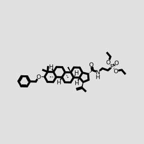 C=C(C)[C@@H]1C[C@@H](C(=O)NCCP(=O)(OCC)OCC)C2CC[C@]3(C)[C@H](CC[C@@H]4[C@@]5(C)CC[C@H](OCc6ccccc6)C(C)(C)[C@@H]5CC[C@]43C)[C@H]21